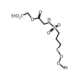 CCOC(=O)COC(=O)CNS(=O)(=O)CCCSOOC(C)C